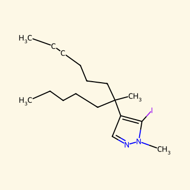 CCCCCCC(C)(CCCCC)c1cnn(C)c1I